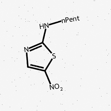 CCCCCNc1ncc([N+](=O)[O-])s1